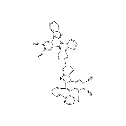 N#Cc1cc2c3c4ccc(-c5ccc6c(c5)nc5c7c8ccccc8c8ccccc8c7c7c(C#N)c(C#N)c(C#N)cc7n65)cc4c4ccccc4c3c3nc4ccccc4n3c2cc1C#N